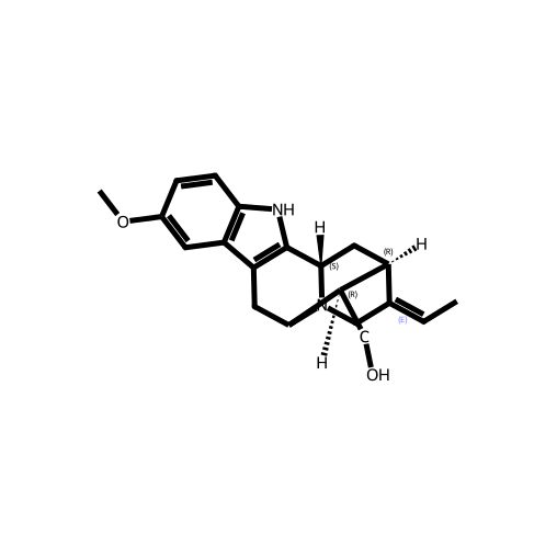 C/C=C1/CN2C3Cc4c([nH]c5ccc(OC)cc45)[C@@H]2C[C@@H]1[C@H]3CO